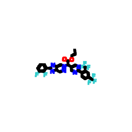 CCCOC(=O)C(c1cnc(-c2ccc(C(F)(F)F)cc2C(F)(F)F)nc1)n1cc2nc(-c3cccc(F)c3F)nc-2cn1